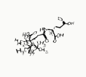 CC(C)(C)N(C(C)(C)C)[C@@](CCC(=O)N[C@H](CCC(=O)O)C(=O)O)(C(=O)O)C(C)(C)C